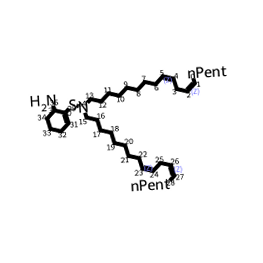 CCCCC/C=C\C/C=C\CCCCCCCCN(CCCCCCCC/C=C\C/C=C\CCCCC)SC1=CCCCC1N